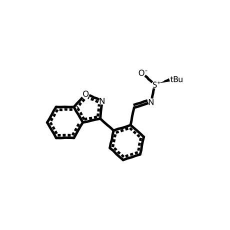 CC(C)(C)[S@+]([O-])N=Cc1ccccc1-c1noc2ccccc12